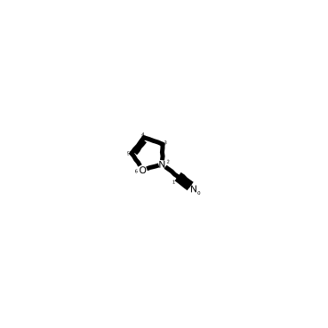 N#CN1CC=[C]O1